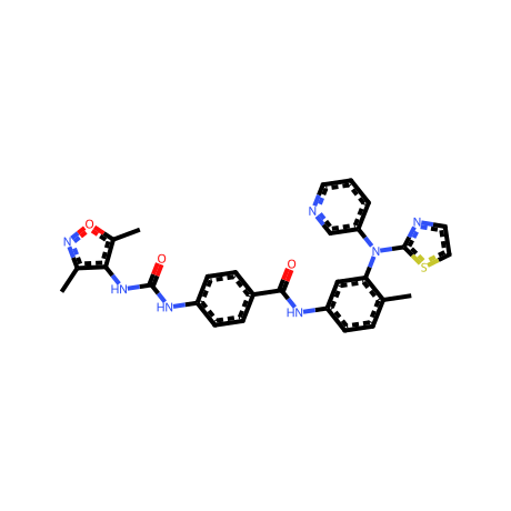 Cc1ccc(NC(=O)c2ccc(NC(=O)Nc3c(C)noc3C)cc2)cc1N(c1cccnc1)c1nccs1